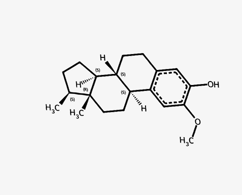 COc1cc2c(cc1O)CC[C@@H]1[C@@H]2CC[C@]2(C)[C@@H](C)CC[C@@H]12